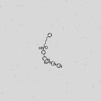 O=C(CCCCCc1ccccc1)Nc1ccc(-c2ccc3ncc(N4CCN(c5ccncc5)CC4)nc3c2)cc1